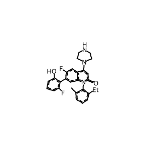 CCc1cccc(C)c1-n1c(=O)cc(N2CCNCC2)c2cc(F)c(-c3c(O)cccc3F)cc21